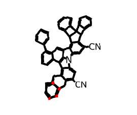 N#Cc1cc2c(c3c1C1c4ccccc4C3c3ccccc31)c1c3cccc(-c4ccccc4)c3cc3c4c5c(c(C#N)cc4n2c31)C1c2ccccc2C12c1ccccc1C52